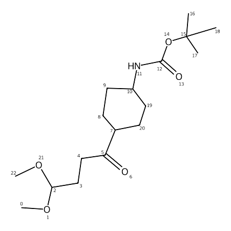 COC(CCC(=O)C1CCC(NC(=O)OC(C)(C)C)CC1)OC